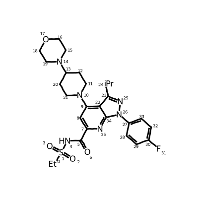 CCS(=O)(=O)NC(=O)c1cc(N2CCC(N3CCOCC3)CC2)c2c(C(C)C)nn(-c3ccc(F)cc3)c2n1